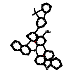 CC(C)(C)c1ccc(N(c2ccc3oc4ccccc4c3c2)c2ccc3ccccc3c2-c2ccc(-c3ccc4c(c3)C(C)(C)c3ccccc3-4)cc2)c(-c2ccccc2)c1